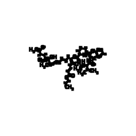 C=CCOC(=O)/C=C/C=C(\C)[C@H](C/C=C/C=C/CC(C)C(O)C(C=O)CCC(C)=O)OC(=O)C1CCCN(C(=O)C(Cc2ccccc2)NC(=O)C(NC)C(C)C)N1